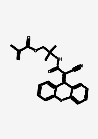 C=C(C)C(=O)OCC(C)(C)NC(=O)C(C#N)=C1c2ccccc2Sc2ccccc21